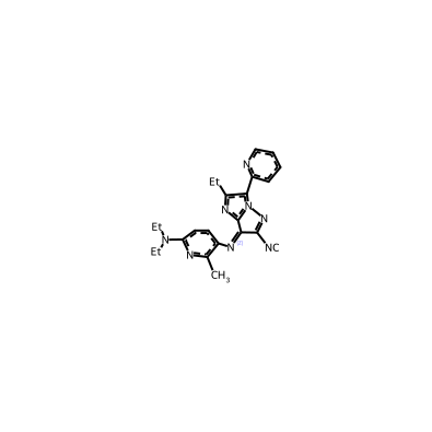 [C-]#[N+]C1=Nn2c(nc(CC)c2-c2ccccn2)/C1=N\c1ccc(N(CC)CC)nc1C